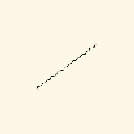 [CH]=CCCCCCCCCCCCCCCCCCCCCCCCCC[CH2]